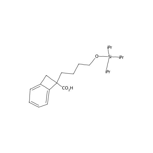 CC(C)[Si](OCCCCC1(C(=O)O)Cc2ccccc21)(C(C)C)C(C)C